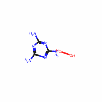 Nc1nc(N)nc(N)n1.OO